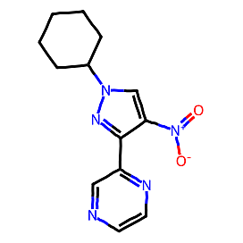 O=[N+]([O-])c1cn(C2CCCCC2)nc1-c1cnccn1